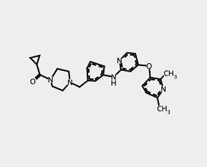 Cc1ccc(Oc2ccnc(Nc3cccc(CN4CCN(C(=O)C5CC5)CC4)c3)c2)c(C)n1